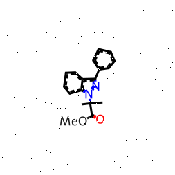 COC(=O)C(C)(C)n1nc(-c2ccccc2)c2ccccc21